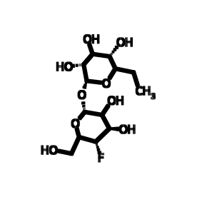 CCC1O[C@H](O[C@H]2OC(CO)[C@@H](F)[C@H](O)C2O)[C@H](O)C(O)[C@@H]1O